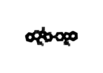 C=C(c1ccccc1C#N)c1n[nH]c2nc(N3CCC4(CC3)Cc3ccccc3[C@H]4N)cnc12